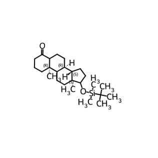 CC(C)(C)[Si](C)(C)OC1CC[C@H]2[C@@H]3CCC4C(=O)CCC[C@]4(C)C3CC[C@]12C